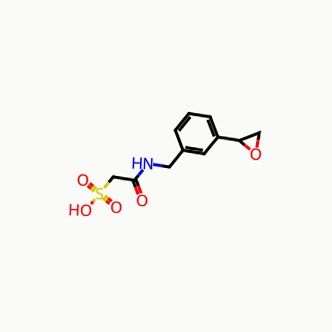 O=C(CS(=O)(=O)O)NCc1cccc(C2CO2)c1